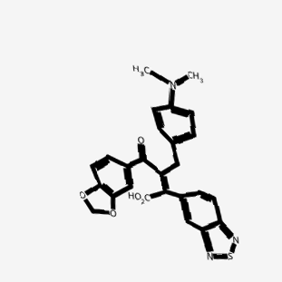 CN(C)c1ccc(CC(C(=O)c2ccc3c(c2)OCO3)=C(C(=O)O)c2ccc3nsnc3c2)cc1